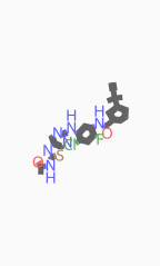 C#CC(C)(C)c1cccc(C(=O)Nc2cc(Nc3ncc4nc(NC(C)=O)sc4n3)c(Cl)cc2F)c1